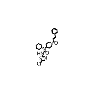 O=C(C=Cc1ccccc1)N1CCC(N(C(=O)Nc2ncc(Cl)s2)C2CCCCC2)CC1